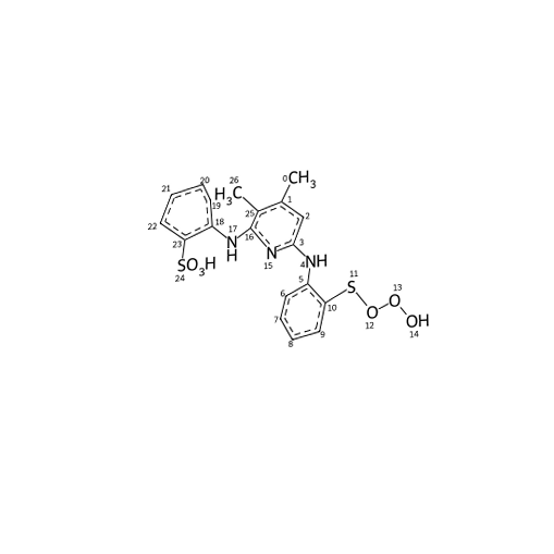 Cc1cc(Nc2ccccc2SOOO)nc(Nc2ccccc2S(=O)(=O)O)c1C